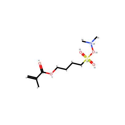 C=C(C)C(=O)OCCCCS(=O)(=O)ON(C)C